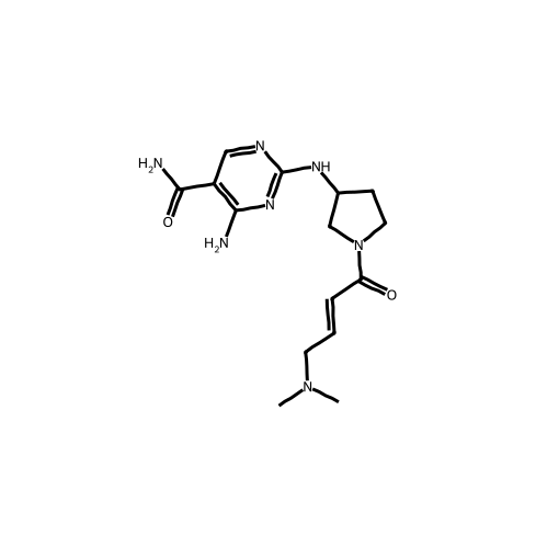 CN(C)CC=CC(=O)N1CCC(Nc2ncc(C(N)=O)c(N)n2)C1